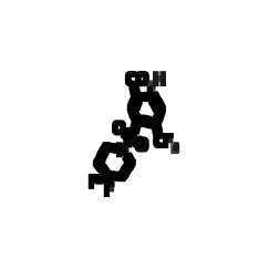 O=C(O)c1ccc(C(F)(F)F)c(S(=O)(=O)N2CCC(F)(F)CC2)c1